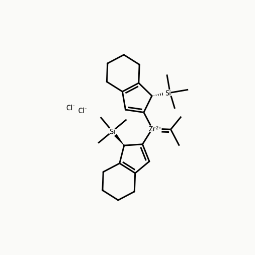 C[C](C)=[Zr+2]([C]1=CC2=C(CCCC2)[C@@H]1[Si](C)(C)C)[C]1=CC2=C(CCCC2)[C@H]1[Si](C)(C)C.[Cl-].[Cl-]